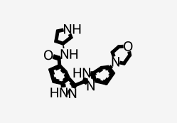 O=C(N[C@@H]1CCNC1)c1ccc2[nH]nc(-c3nc4ccc(N5CCOCC5)cc4[nH]3)c2c1